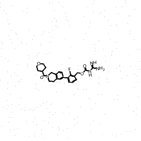 N=C(N)NC(=O)OCc1cccc(-c2ccc3c(c2)CCN(C(=O)C2CCOCC2)C3)c1F